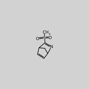 CS(=O)(=O)C1=NC2C=CC1C2